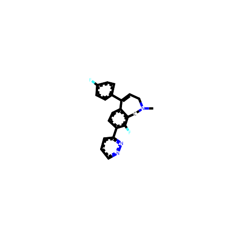 CN1CC=C(c2ccc(F)cc2)c2ccc(-c3cccnn3)c(F)c2C1